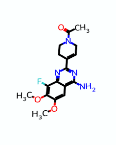 COc1cc2c(N)nc(C3=CCN(C(C)=O)CC3)nc2c(F)c1OC